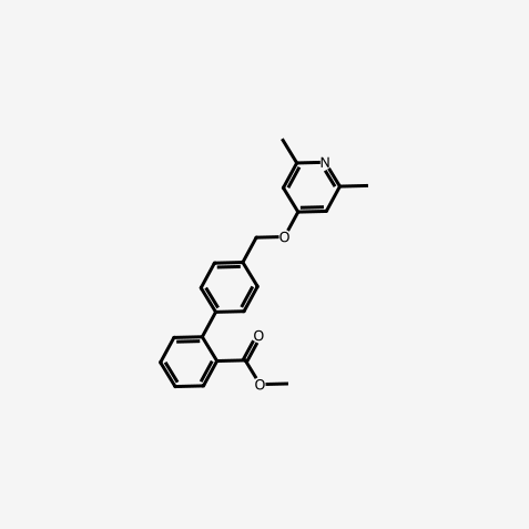 COC(=O)c1ccccc1-c1ccc(COc2cc(C)nc(C)c2)cc1